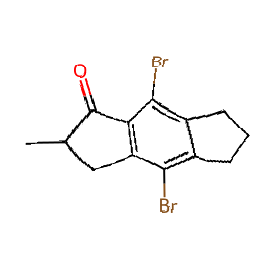 CC1Cc2c(Br)c3c(c(Br)c2C1=O)CCC3